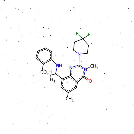 Cc1cc(C(C)Nc2ccccc2C(=O)O)c2nc(N3CCC(F)(F)CC3)n(C)c(=O)c2c1